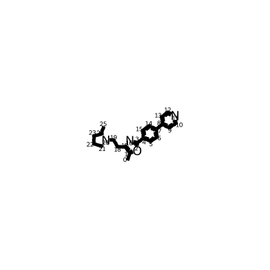 Cc1oc(-c2ccc(-c3ccncc3)cc2)nc1CCN1CCCC1C